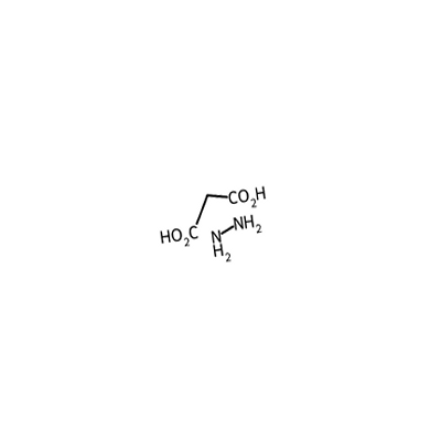 NN.O=C(O)CC(=O)O